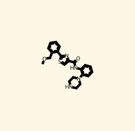 COCc1ccccc1-c1nc(C(=O)Nc2ccccc2N2CCNCC2)cs1